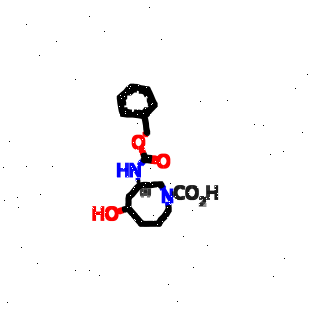 O=C(N[C@H]1CC(O)CCCN(C(=O)O)C1)OCc1ccccc1